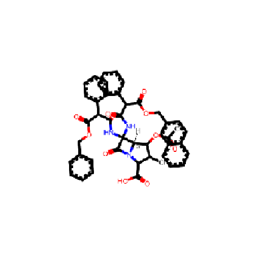 CC(=O)OC1C(C)C(C(=O)O)N2C(=O)C(NC(=O)C(C(=O)OCc3ccccc3)c3ccccc3)(NC(=O)C(C(=O)OCc3ccc4ccccc4c3)c3ccccc3)[C@@H]12